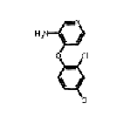 Nc1cnccc1Oc1ccc(Cl)cc1Cl